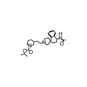 CC(=O)NC1CCC2(CCN(CCC3CCCN(C(=O)OC(C)C)C3)CC2)c2ccccc21